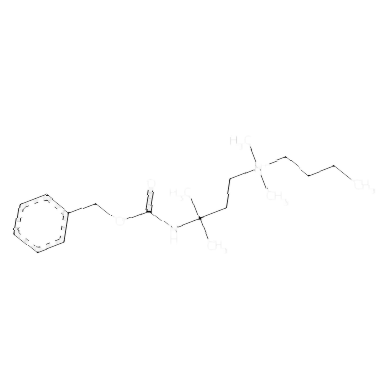 CCCC[N+](C)(C)CCC(C)(C)NC(=O)OCc1ccccc1